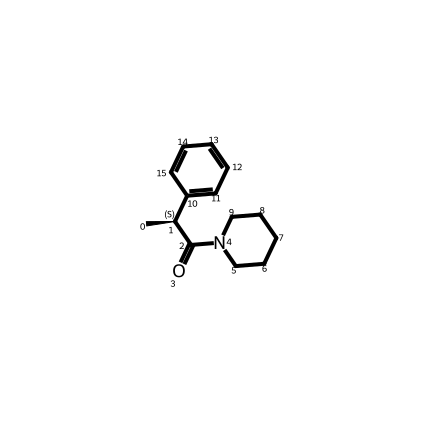 C[C@H](C(=O)N1CCCCC1)c1ccccc1